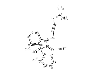 CN(C)CC#CCNC(=O)C(O)(c1ccccc1Cl)c1ccccc1Cl.Cl